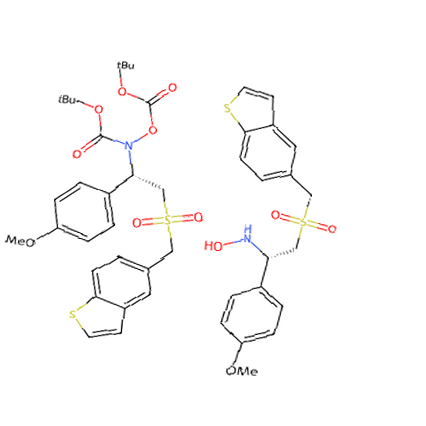 COc1ccc([C@@H](CS(=O)(=O)Cc2ccc3sccc3c2)N(OC(=O)OC(C)(C)C)C(=O)OC(C)(C)C)cc1.COc1ccc([C@@H](CS(=O)(=O)Cc2ccc3sccc3c2)NO)cc1